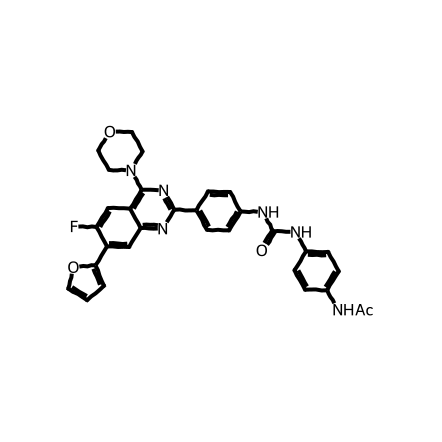 CC(=O)Nc1ccc(NC(=O)Nc2ccc(-c3nc(N4CCOCC4)c4cc(F)c(-c5ccco5)cc4n3)cc2)cc1